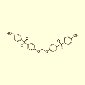 O=S(=O)(c1ccc(O)cc1)c1ccc(OCOc2ccc(S(=O)(=O)c3ccc(O)cc3)cc2)cc1